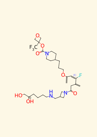 C=C(/C=C(/F)C(=C)CC(=O)N1CC(CNCCCC[C@H](O)CO)C1)OCCCC1CCN(C(=O)OC2(C(F)(F)F)COC2)CC1